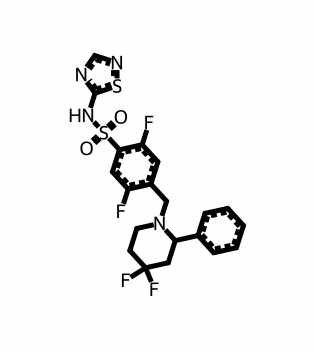 O=S(=O)(Nc1ncns1)c1cc(F)c(CN2CCC(F)(F)CC2c2ccccc2)cc1F